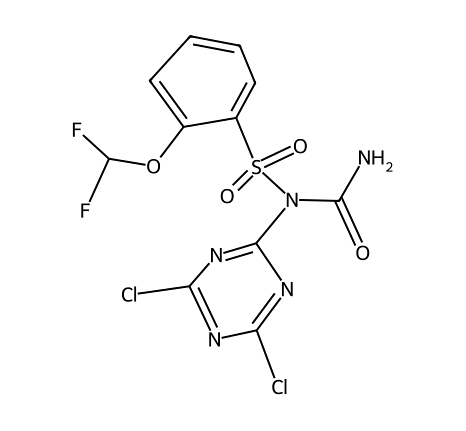 NC(=O)N(c1nc(Cl)nc(Cl)n1)S(=O)(=O)c1ccccc1OC(F)F